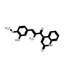 COc1ccc(/C=C(\C)C(=O)c2cc(=O)[nH]c3ccccc23)cc1O